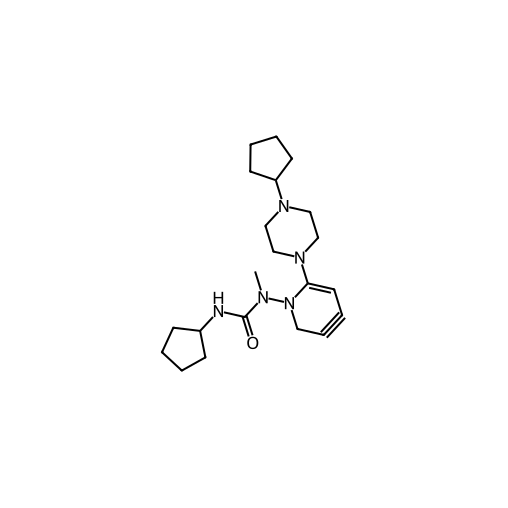 CN(C(=O)NC1CCCC1)N1CC#CC=C1N1CCN(C2CCCC2)CC1